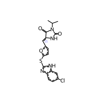 CC(C)N1C(=O)N/C(=C\c2ccc(Sc3nc4ccc(Cl)cc4[nH]3)o2)C1=O